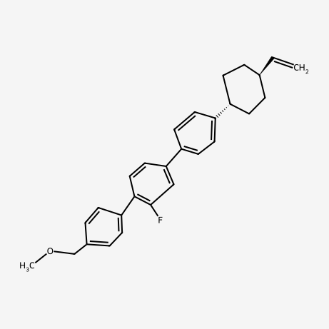 C=C[C@H]1CC[C@H](c2ccc(-c3ccc(-c4ccc(COC)cc4)c(F)c3)cc2)CC1